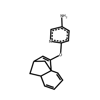 Nc1ccc(OC2=CC3CC4C=CC=CC24C3)nc1